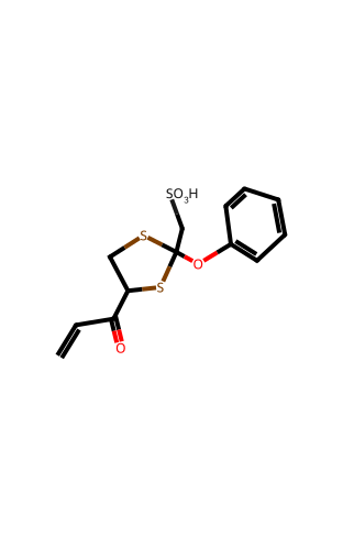 C=CC(=O)C1CSC(CS(=O)(=O)O)(Oc2ccccc2)S1